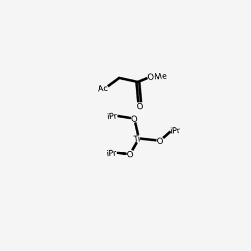 CC(C)[O][Ti]([O]C(C)C)[O]C(C)C.COC(=O)CC(C)=O